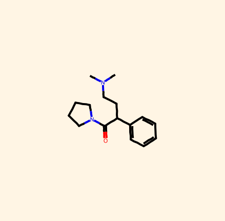 CN(C)CCC(C(=O)N1CCCC1)c1ccccc1